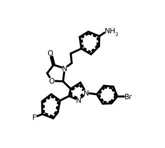 Nc1ccc(CCN2C(=O)COC2c2cn(-c3ccc(Br)cc3)nc2-c2ccc(F)cc2)cc1